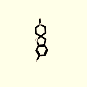 CN1CCC2(CC1)Cc1ccc(I)cc1O2